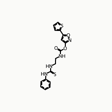 O=C(NCCNC(=S)Nc1ccccc1)Oc1cc(-c2cccs2)on1